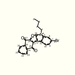 CCCCn1c2cc(Br)ccc2c2c3c(oc21)C(=O)c1ccccc1C3=O